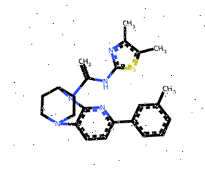 C=C(Nc1nc(C)c(C)s1)N1c2nc(-c3cccc(C)c3)ccc2N2CCC1CC2